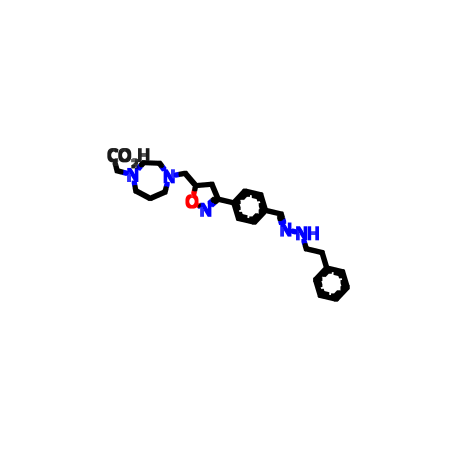 O=C(O)CN1CCCN(CC2CC(c3ccc(C=NNCCc4ccccc4)cc3)=NO2)CC1